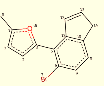 Cc1ccc(-c2c(Br)ccc3c2C=CC3)o1